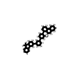 CC1(C)c2ccccc2-c2cc(-c3cccc(-c4ccc5c(c4)Oc4cc6ccccc6c6cccc-5c46)c3)ccc21